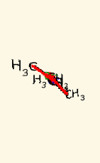 CCCCCCCCC=CCCCCCCCC(=O)OC(CC)(OC(=O)CCCCCCCC=CCCCCCCCC)[N+](C)(C)C.[Br-]